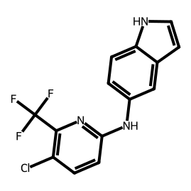 FC(F)(F)c1nc(Nc2ccc3[nH]ccc3c2)ccc1Cl